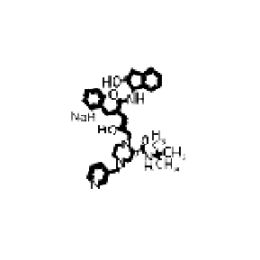 CC(C)(C)NC(=O)[C@@H]1CN(Cc2cccnc2)CCN1CC(O)CC(Cc1ccccc1)C(=O)N[C@H]1c2ccccc2C[C@H]1O.[NaH]